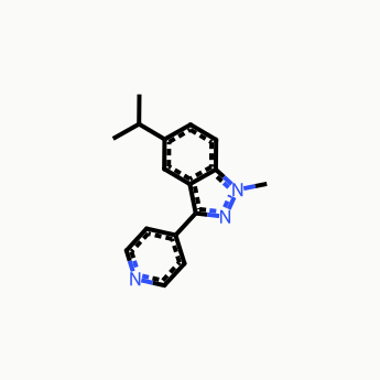 CC(C)c1ccc2c(c1)c(-c1ccncc1)nn2C